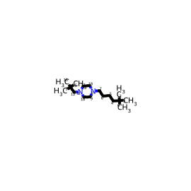 CC(C)(C)CCCCN1CCN(CC(C)(C)C)CC1